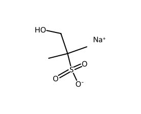 CC(C)(CO)S(=O)(=O)[O-].[Na+]